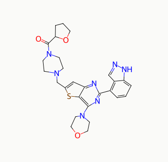 O=C(C1CCCO1)N1CCN(Cc2cc3nc(-c4cccc5[nH]ncc45)nc(N4CCOCC4)c3s2)CC1